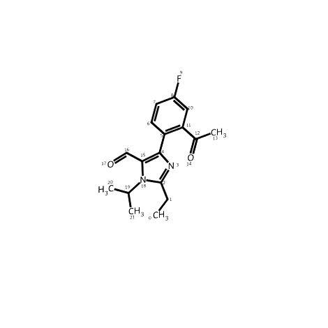 CCc1nc(-c2ccc(F)cc2C(C)=O)c(C=O)n1C(C)C